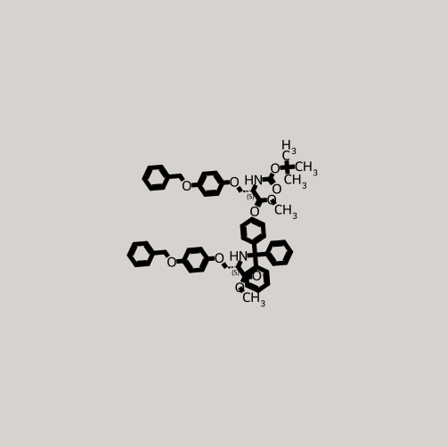 COC(=O)[C@H](COc1ccc(OCc2ccccc2)cc1)NC(=O)OC(C)(C)C.COC(=O)[C@H](COc1ccc(OCc2ccccc2)cc1)NC(c1ccccc1)(c1ccccc1)c1ccccc1